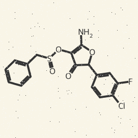 NC1=C(OS(=O)Cc2ccccc2)C(=O)C(c2ccc(Cl)c(F)c2)O1